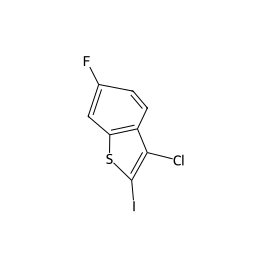 Fc1ccc2c(Cl)c(I)sc2c1